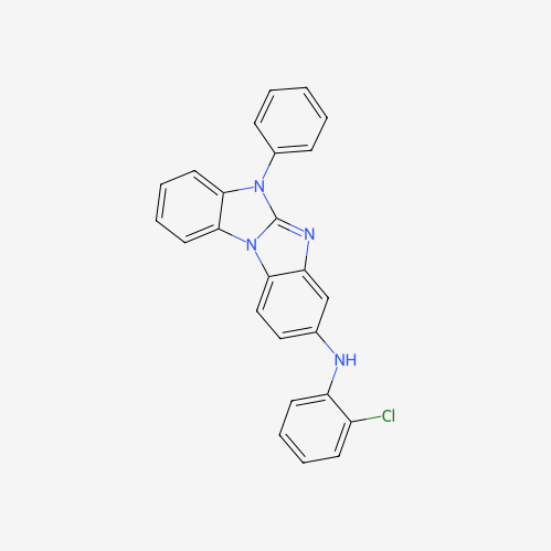 Clc1ccccc1Nc1ccc2c(c1)nc1n(-c3ccccc3)c3ccccc3n21